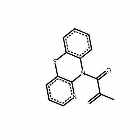 C=C(C)C(=O)N1c2ccccc2Sc2cccnc21